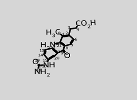 Cc1c(CCC(=O)O)ccc(C(=O)c2cccc(NC(N)=O)c2)c1N